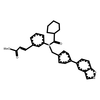 COC(=O)/C=C/c1cccc(N(Cc2ccc(-c3ccc4sncc4c3)cc2)C(=O)C2CCCCC2)c1